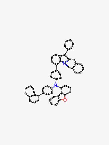 c1ccc(-c2c3cccc(-c4ccc(N(c5ccc(-c6cccc7ccccc67)cc5)c5cccc6oc7ccccc7c56)cc4)c3n3cc4ccccc4cc23)cc1